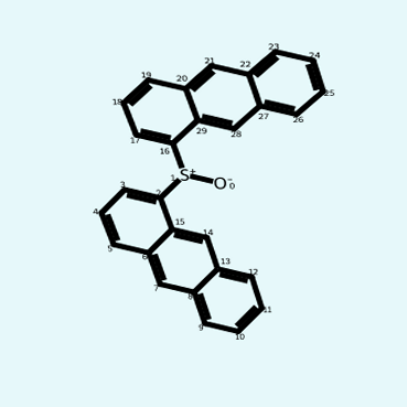 [O-][S+](c1cccc2cc3ccccc3cc12)c1cccc2cc3ccccc3cc12